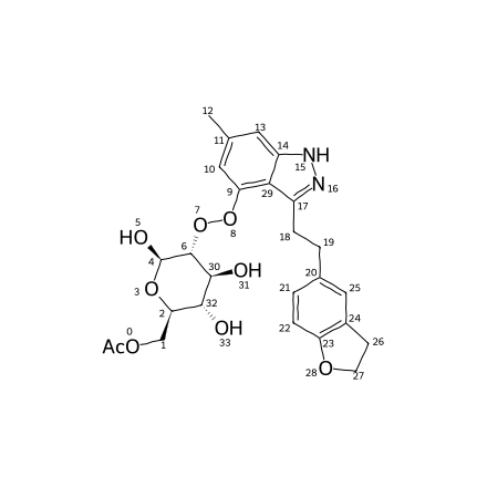 CC(=O)OC[C@H]1O[C@@H](O)[C@H](OOc2cc(C)cc3[nH]nc(CCc4ccc5c(c4)CCO5)c23)[C@@H](O)[C@@H]1O